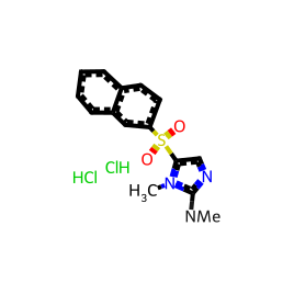 CNc1ncc(S(=O)(=O)c2ccc3ccccc3c2)n1C.Cl.Cl